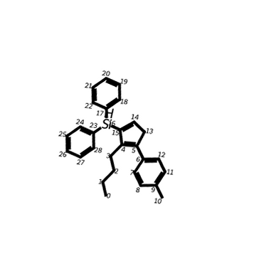 CCCCC1=C(c2ccc(C)cc2)CC=C1[SiH](c1ccccc1)c1ccccc1